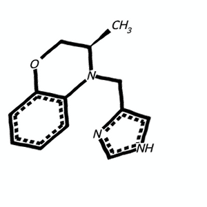 C[C@@H]1COc2ccccc2N1Cc1c[nH]cn1